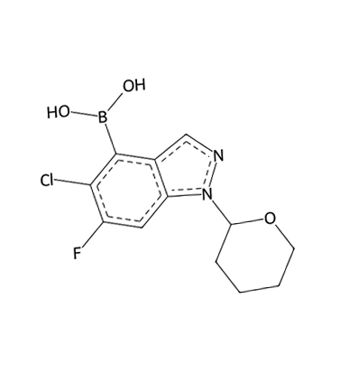 OB(O)c1c(Cl)c(F)cc2c1cnn2C1CCCCO1